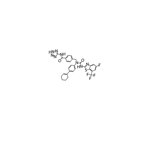 O=C(Nc1nn[nH]n1)c1ccc(CN(C(=O)Nc2nc3cc(F)cc(C(F)(F)F)c3s2)c2ccc(C3=CCCCC3)cc2)cc1